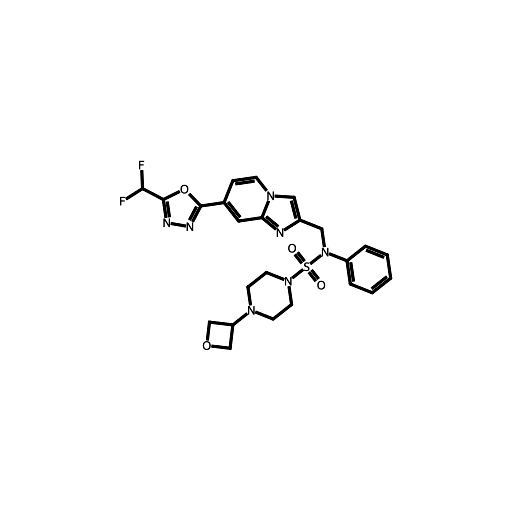 O=S(=O)(N1CCN(C2COC2)CC1)N(Cc1cn2ccc(-c3nnc(C(F)F)o3)cc2n1)c1ccccc1